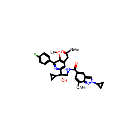 CCOc1c(CC(=O)NC)cc([C@@](O)(CNC(=O)c2cc(OC)c3nn(C4CC4)cc3c2)C2CC2)nc1-c1ccc(F)cc1